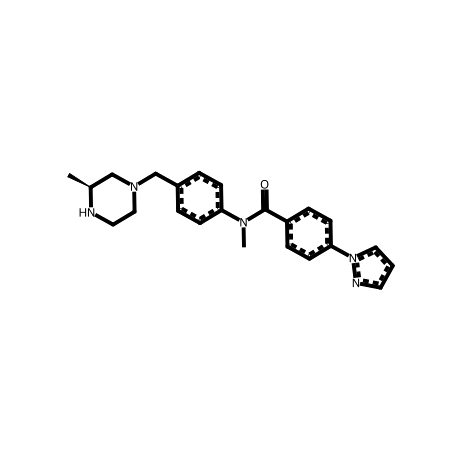 C[C@H]1CN(Cc2ccc(N(C)C(=O)c3ccc(-n4cccn4)cc3)cc2)CCN1